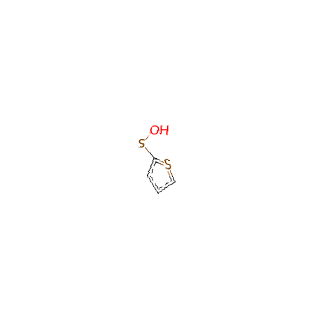 OSc1cccs1